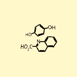 O=C(O)c1ccc2ccccc2n1.Oc1ccc(O)cc1